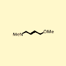 C[N]CC=CCOC